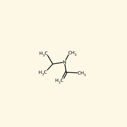 C=C(C)N(C)C(C)C